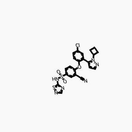 N#Cc1cc(S(=O)(=O)Nc2ncns2)ccc1Oc1ccc(Cl)cc1-c1ccnn1C1CCC1